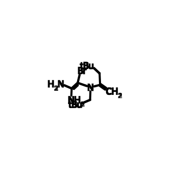 C=C(CC(C)(C)C)N(CC(C)(C)C)C(Br)=C(N)N